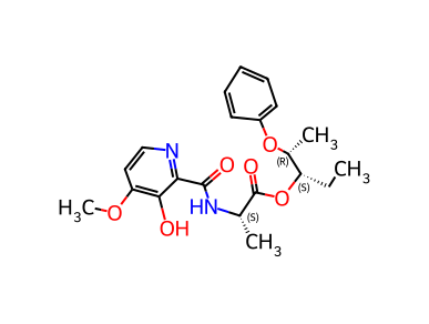 CC[C@H](OC(=O)[C@H](C)NC(=O)c1nccc(OC)c1O)[C@@H](C)Oc1ccccc1